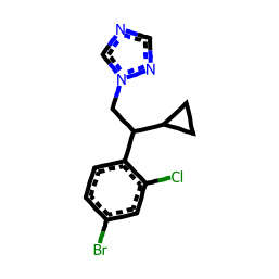 Clc1cc(Br)ccc1C(Cn1cncn1)C1CC1